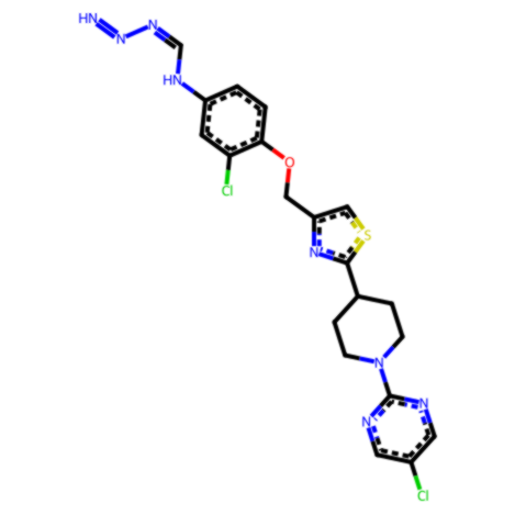 N=N/N=C\Nc1ccc(OCc2csc(C3CCN(c4ncc(Cl)cn4)CC3)n2)c(Cl)c1